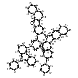 c1ccc(-c2cccc(-c3nc(-c4cc5oc6c7ccccc7ccc6c5cc4-n4c5ccccc5c5cc6ccccc6cc54)nc(-c4cccc5c4c4ccccc4n5-c4ccccc4)n3)c2)cc1